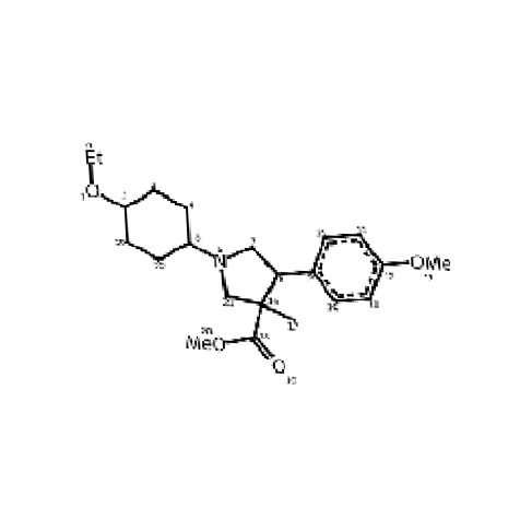 CCOC1CCC(N2CC(c3ccc(OC)cc3)C(C)(C(=O)OC)C2)CC1